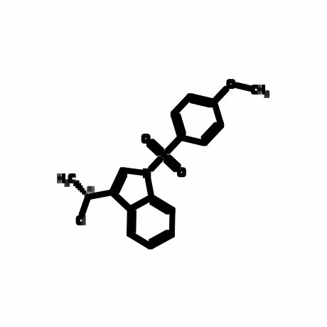 COc1ccc(S(=O)(=O)n2cc([C@@H](C)Cl)c3ccccc32)cc1